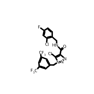 O=C(NCc1ccc(F)cc1Cl)c1nnn(Cc2cc(C(F)(F)F)cc(C(F)(F)F)c2)c1Cl